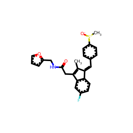 CC1=C(CC(=O)NCc2ccco2)c2cc(F)ccc2/C1=C/c1ccc([S+](C)[O-])cc1